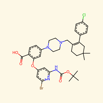 CC1(C)CCC(CN2CCN(c3ccc(C(=O)O)c(Oc4cc(Br)nc(NC(=O)OC(C)(C)C)c4)c3)CC2)=C(c2ccc(Cl)cc2)C1